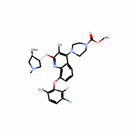 CO[C@@H]1CN(C)C[C@H]1Oc1nc2c(Oc3c([N+](=O)[O-])ccc(Cl)c3F)cccc2c(N2CCN(C(=O)OC(C)(C)C)CC2)c1C#N